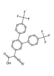 [N-]=[N+]=C(C(=O)O)c1ccc(-c2ccc(C(F)(F)F)cc2)c(-c2ccc(C(F)(F)F)cc2)c1